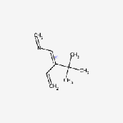 C=C/C(=C\N=C)C(C)(C)C